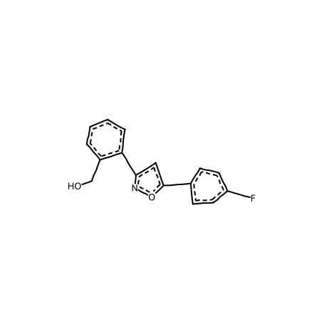 OCc1ccccc1-c1cc(-c2ccc(F)cc2)on1